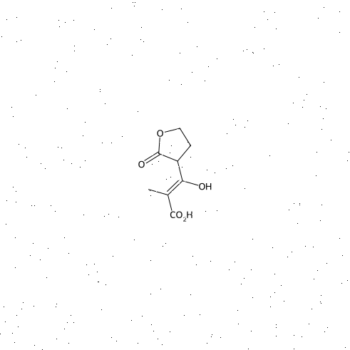 CC(C(=O)O)=C(O)C1CCOC1=O